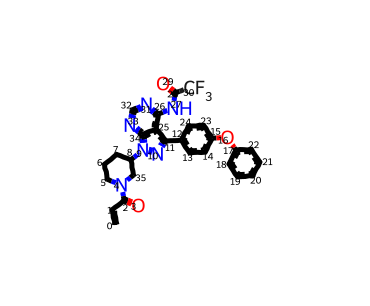 C=CC(=O)N1CCCC(n2nc(-c3ccc(Oc4ccccc4)cc3)c3c(NC(=O)C(F)(F)F)ncnc32)C1